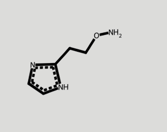 NOCCc1ncc[nH]1